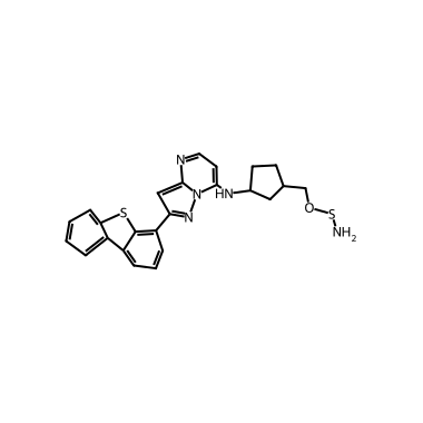 NSOCC1CCC(Nc2ccnc3cc(-c4cccc5c4sc4ccccc45)nn23)C1